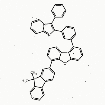 CC1(C)c2ccccc2-c2ccc(-c3cccc4c3oc3cccc(-c5cccc(-c6nc7ccccn7c6-c6ccccc6)c5)c34)cc21